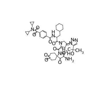 CC(C)(O)c1cnnn1[C@H]1C[C@@H](C(=O)NC2(C(=O)C(N)=O)CCS(=O)(=O)CC2)N(C(=O)C(CC2CCCCC2)NC(=O)c2ccc(S(=O)(=O)N(C3CC3)C3CC3)cc2)C1